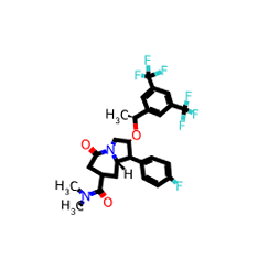 C[C@@H](O[C@H]1CN2C(=O)CC(C(=O)N(C)C)C[C@H]2C1c1ccc(F)cc1)c1cc(C(F)(F)F)cc(C(F)(F)F)c1